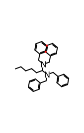 CCCCCC(N(Cc1ccccc1)Cc1ccccc1)N(Cc1ccccc1)Cc1ccccc1